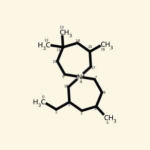 CCC1CC(C)CC[N+]2(CCC(C)(C)CC(C)C2)C1